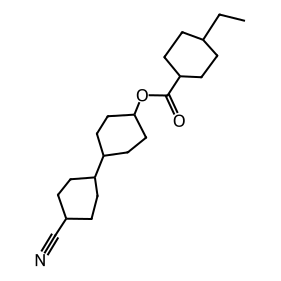 CCC1CCC(C(=O)OC2CCC(C3CCC(C#N)CC3)CC2)CC1